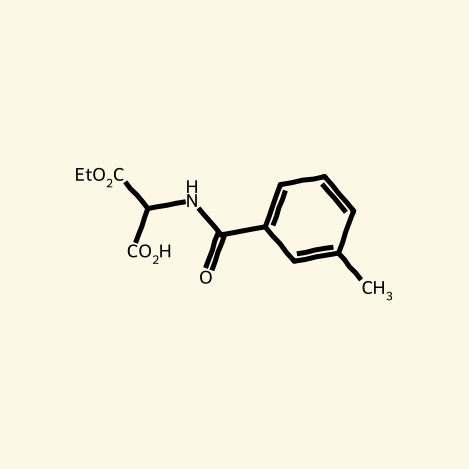 CCOC(=O)C(NC(=O)c1cccc(C)c1)C(=O)O